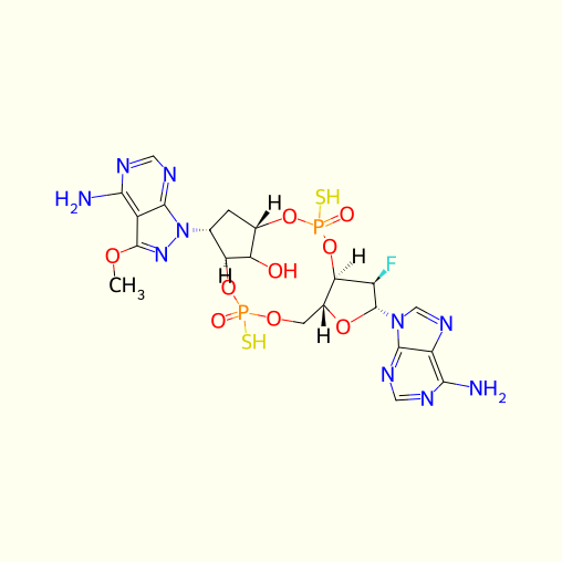 COc1nn([C@@H]2C[C@@H]3OP(=O)(S)O[C@H]4[C@@H](F)[C@H](n5cnc6c(N)ncnc65)O[C@@H]4COP(=O)(S)O[C@@H]2C3O)c2ncnc(N)c12